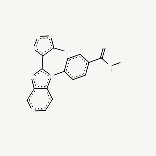 CNC(=O)c1ccc(-n2c(-c3nonc3N)nc3cnccc32)cc1